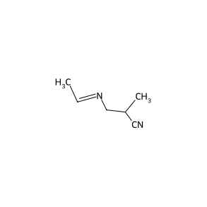 CC=NCC(C)C#N